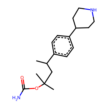 CC(CC(C)(C)OC(N)=O)c1ccc(C2CCNCC2)cc1